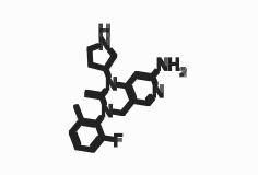 C=C1N(c2c(C)cccc2F)Cc2cnc(N)cc2N1C1CCNC1